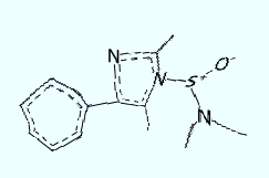 Cc1nc(-c2ccccc2)c(C)n1[S+]([O-])N(C)C